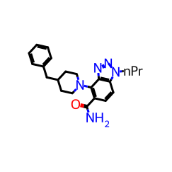 CCCn1nnc2c(N3CCC(Cc4ccccc4)CC3)c(C(N)=O)ccc21